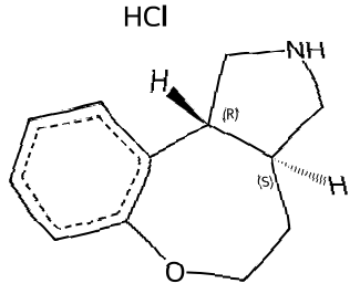 Cl.c1ccc2c(c1)OCC[C@@H]1CNC[C@@H]21